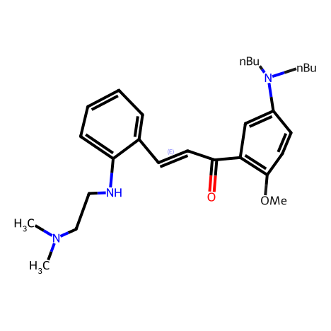 CCCCN(CCCC)c1ccc(OC)c(C(=O)/C=C/c2ccccc2NCCN(C)C)c1